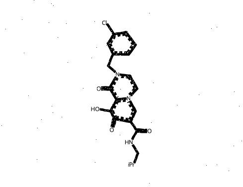 CC(C)CNC(=O)c1cn2ccn(Cc3cccc(Cl)c3)c(=O)c2c(O)c1=O